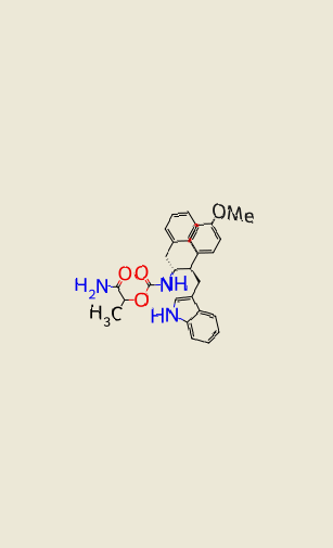 COc1ccc([C@@H](Cc2c[nH]c3ccccc23)[C@@H](Cc2ccccc2)NC(=O)OC(C)C(N)=O)cc1